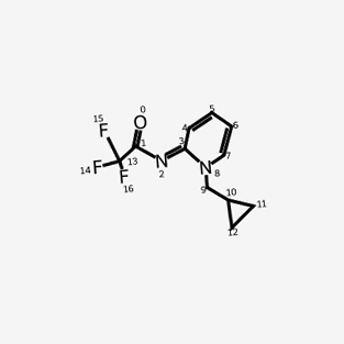 O=C(/N=c1\ccccn1CC1CC1)C(F)(F)F